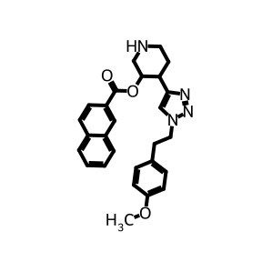 COc1ccc(CCn2cc(C3CCNCC3OC(=O)c3ccc4ccccc4c3)nn2)cc1